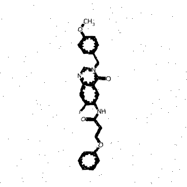 COc1ccc(Cn2cnc3cc(I)c(NC(=O)CCOc4ccccc4)cc3c2=O)cc1